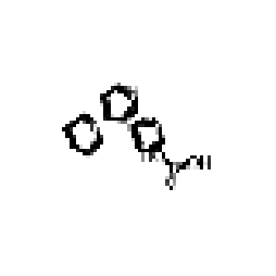 OB(O)O.c1ccncc1.c1ccncc1.c1ccncc1